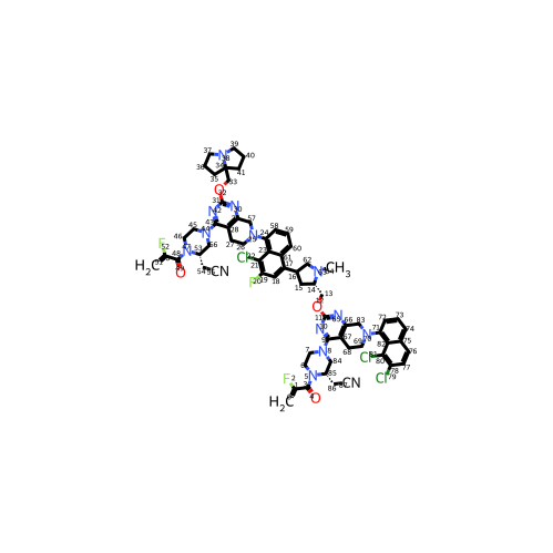 C=C(F)C(=O)N1CCN(c2nc(OC[C@@H]3CC(c4cc(F)c(Cl)c5c(N6CCc7c(nc(OCC89CCCN8CCC9)nc7N7CCN(C(=O)C(=C)F)[C@@H](CC#N)C7)C6)cccc45)CN3C)nc3c2CCN(c2cccc4ccc(Cl)c(Cl)c24)C3)C[C@@H]1CC#N